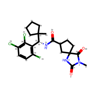 CN1C(=O)NC2(CCC(C(=O)N[C@H](c3c(F)ccc(Cl)c3Cl)C3(C)CCCC3)C2)C1=O